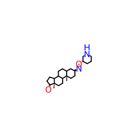 C[C@]12CC/C(=N/OC3CCCNC3)CC1CCC1C2CC[C@]2(C)C(=O)CCC12